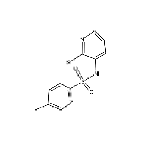 Cc1ccc(S(=O)(=O)Nc2cccnc2Br)cc1